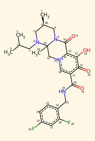 CC(C)CN1C[C@@H](C)CN2C(=O)c3c(O)c(=O)c(C(=O)NCc4ccc(F)cc4F)cn3CC12C